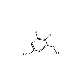 CC(C)Oc1cc(C(=O)O)cc(Cl)c1Cl